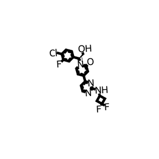 O=c1cc(-c2ccnc(NC3CC(F)(F)C3)n2)ccn1[C@H](CO)c1ccc(Cl)c(F)c1